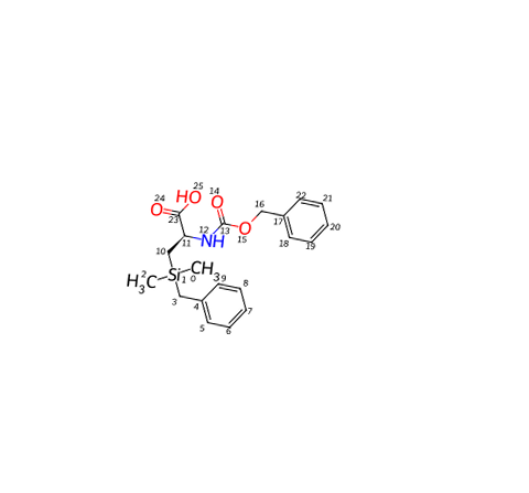 C[Si](C)(Cc1ccccc1)C[C@H](NC(=O)OCc1ccccc1)C(=O)O